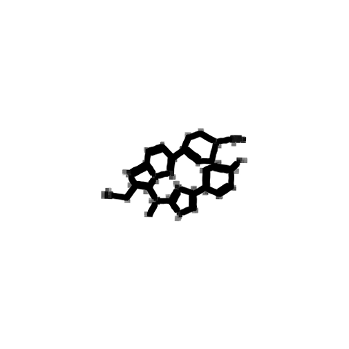 CSN1CC=C(c2ccc3nc(CO)c(N(C)c4nc(-c5ccc(F)cc5)cs4)n3n2)CC1